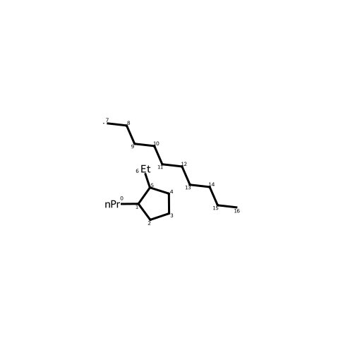 [CH2]CCC1CCCC1CC.[CH2]CCCCCCCCC